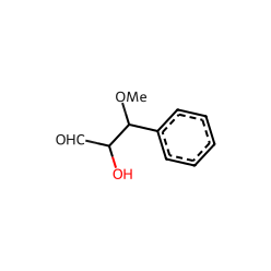 COC(c1ccccc1)C(O)C=O